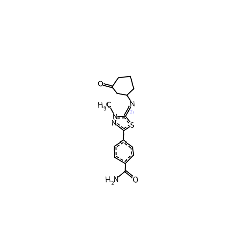 Cn1nc(-c2ccc(C(N)=O)cc2)s/c1=N/C1CCCC(=O)C1